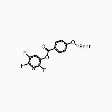 CCCCCOc1ccc(C(=O)Oc2cc(F)c(F)nc2F)cc1